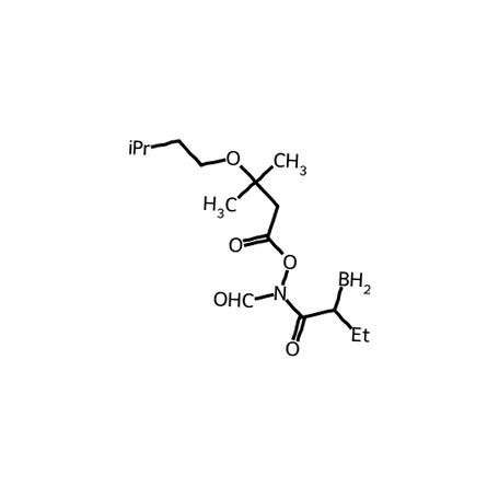 BC(CC)C(=O)N(C=O)OC(=O)CC(C)(C)OCCC(C)C